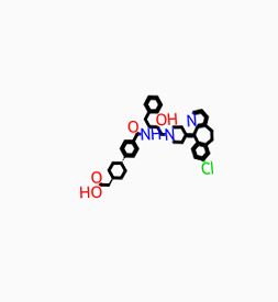 O=C(O)C[C@H]1CC[C@H](c2ccc(C(=O)NC(Cc3ccccc3)C(O)CN3CCC(=C4c5ccc(Cl)cc5CCc5cccnc54)CC3)cc2)CC1